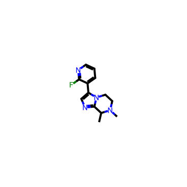 CC1c2ncc(-c3cccnc3F)n2CCN1C